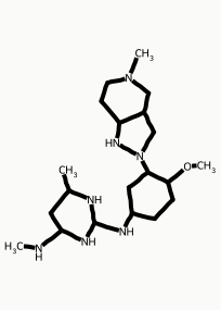 CNC1CC(C)NC(NC2CCC(OC)C(N3CC4CN(C)CCC4N3)C2)N1